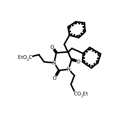 CCOC(=O)CCN1C(=O)N(CCC(=O)OCC)C(=O)C(Cc2ccccc2)(Cc2ccccc2)C1=O